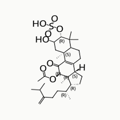 C=C(CC[C@@H](C)[C@H]1CC[C@H]2C3=C(C(=O)[C@H](OC(C)=O)[C@]12C)[C@@]1(C)CC(O)[C@H](OS(=O)(=O)O)C(C)(C)C1CC3)C(C)C